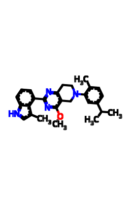 COc1nc(-c2cccc3[nH]cc(C)c23)nc2c1CN(c1cc(C(C)C)ccc1C)CC2